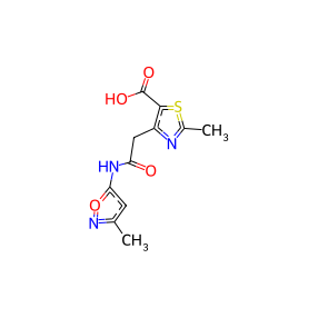 Cc1cc(NC(=O)Cc2nc(C)sc2C(=O)O)on1